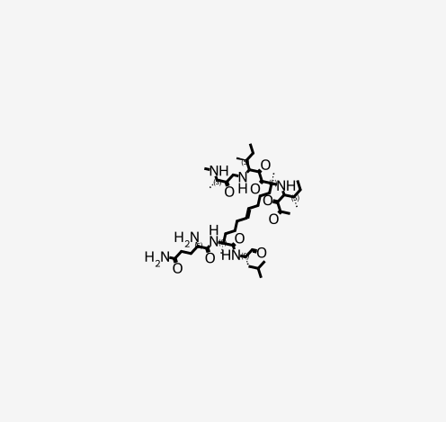 CC[C@H](C)C(N[C@@](C)(CCCC=CCCC[C@](C)(NC(=O)[C@@H](N)CCC(N)=O)C(=O)N[C@H](C=O)CC(C)C)C(=O)C(=O)C(NCC(=O)[C@H](C)NC)[C@@H](C)CC)C(=O)C(C)=O